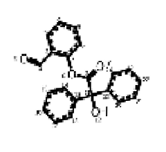 O=Cc1ccccc1OC(=O)C(O)(c1ccccc1)c1ccccc1